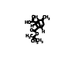 C=C1C[C@@H]2CC[C@H]1[C@@H](C(=O)O)N2C(=O)OC(C)(C)C